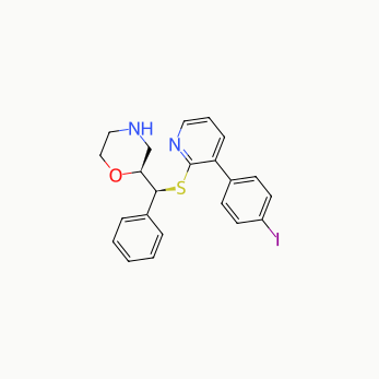 Ic1ccc(-c2cccnc2S[C@@H](c2ccccc2)[C@@H]2CNCCO2)cc1